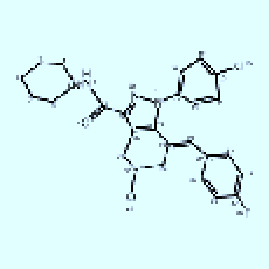 O=C(NN1CCCCC1)c1nn(-c2ccc(Cl)cc2)c2c1C[S+]([O-])C/C2=C\c1ccc(F)cc1